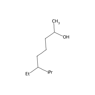 CCC(CCCC(C)O)C(C)C